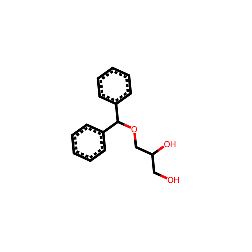 OCC(O)COC(c1ccccc1)c1ccccc1